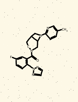 Cc1ccc(N2CC3CCN(C(=O)c4cc(F)ccc4-n4nccn4)CC32)nc1